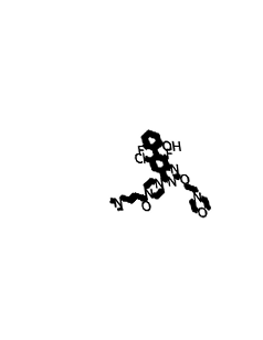 CN(C)CC=CC(=O)N1CCN(c2nc(OCCN3CCOCC3)nc3c(F)c(-c4c(O)cccc4F)c(Cl)cc23)CC1